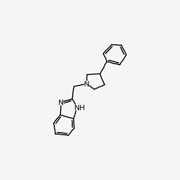 c1ccc(C2CCN(Cc3nc4ccccc4[nH]3)C2)cc1